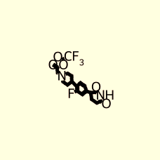 O=C1CCC(c2ccc(C3CCN(CC(=O)OC(=O)C(F)(F)F)CC3)c(F)c2)C(=O)N1